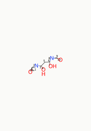 O=C=NC(O)CC(O)N=C=O